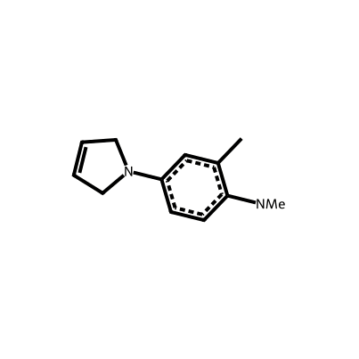 CNc1ccc(N2CC=CC2)cc1C